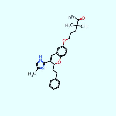 CCCC(=O)C(C)(C)CCCOc1ccc2c(c1)C=C(c1nc(C)c[nH]1)C(CCc1ccccc1)O2